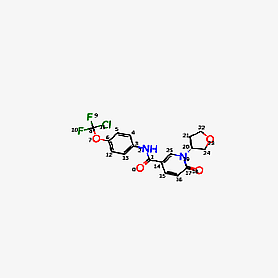 O=C(Nc1ccc(OC(F)(F)Cl)cc1)c1ccc(=O)n([C@@H]2CCOC2)c1